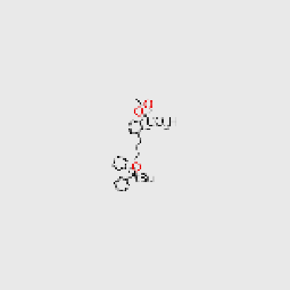 Cc1c(CCCCO[Si](c2ccccc2)(c2ccccc2)C(C)(C)C)cccc1C1(C(=O)O)COC(C)O1